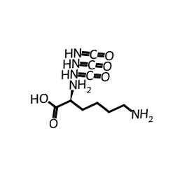 N=C=O.N=C=O.N=C=O.NCCCC[C@H](N)C(=O)O